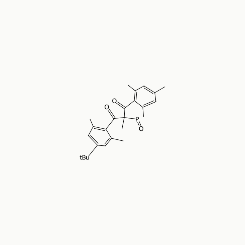 Cc1cc(C)c(C(=O)C(C)(P=O)C(=O)c2c(C)cc(C(C)(C)C)cc2C)c(C)c1